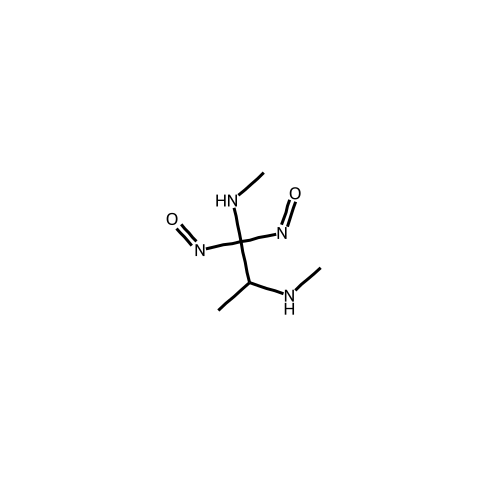 CNC(C)C(N=O)(N=O)NC